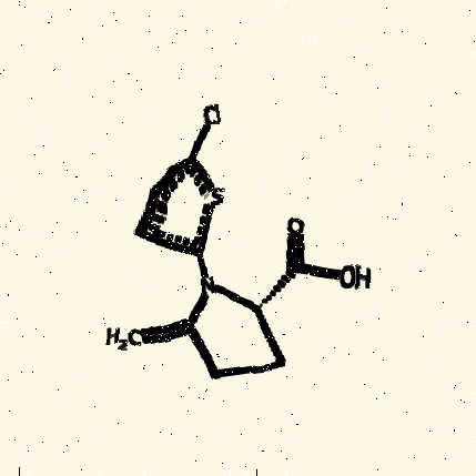 C=C1CC[C@@H](C(=O)O)N1c1ccc(Cl)s1